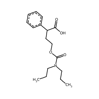 CCCN(CCC)C(=O)OCCC(C(=O)O)c1ccccc1